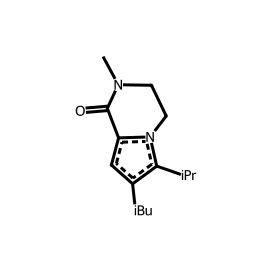 CCC(C)c1cc2n(c1C(C)C)CCN(C)C2=O